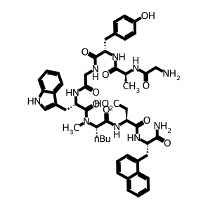 CCCC[C@@H](C(=O)N[C@@H](CC(=O)O)C(=O)N[C@@H](Cc1cccc2ccccc12)C(N)=O)N(C)C(=O)[C@H](Cc1c[nH]c2ccccc12)NC(=O)CNC(=O)[C@H](Cc1ccc(O)cc1)NC(=O)[C@H](C)NC(=O)CN